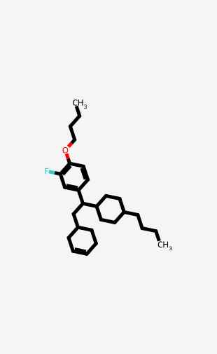 CCCCOc1ccc(C(CC2CC=CCC2)C2CCC(CCCC)CC2)cc1F